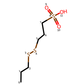 CCCSSCCCS(=O)(=O)O